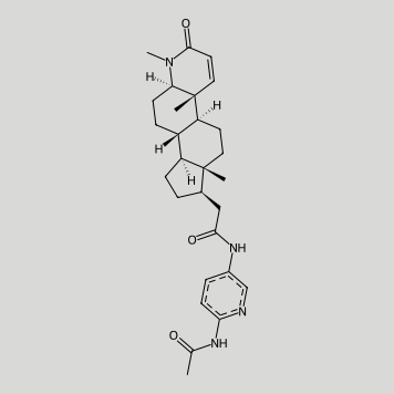 CC(=O)Nc1ccc(NC(=O)C[C@H]2CC[C@H]3[C@@H]4CC[C@H]5N(C)C(=O)C=C[C@]5(C)[C@H]4CC[C@]23C)cn1